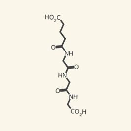 O=C(O)CCCC(=O)NCC(=O)NCC(=O)NCC(=O)O